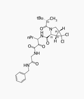 CCCC(NC(=O)[C@@H]1[C@@H]2[C@H](CN1C(=O)[C@@H](C)C(C)(C)C)C2(Cl)Cl)C(=O)C(=O)NCC(=O)NCc1ccccc1